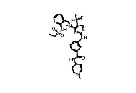 CCS(=O)(=O)Nc1ncccc1CNc1nc(Nc2cccc(C(=O)NC3CCN(C)CC3)c2)ncc1C(F)(F)F